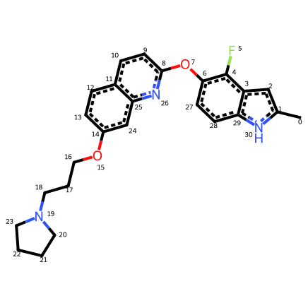 Cc1cc2c(F)c(Oc3ccc4ccc(OCCCN5CCCC5)cc4n3)ccc2[nH]1